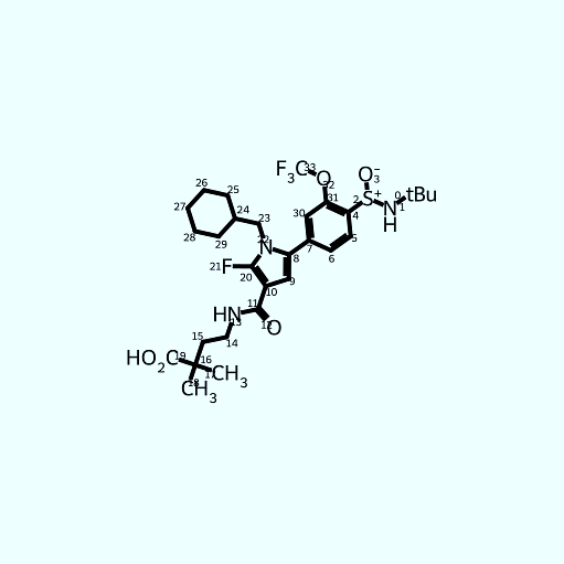 CC(C)(C)N[S+]([O-])c1ccc(-c2cc(C(=O)NCCC(C)(C)C(=O)O)c(F)n2CC2CCCCC2)cc1OC(F)(F)F